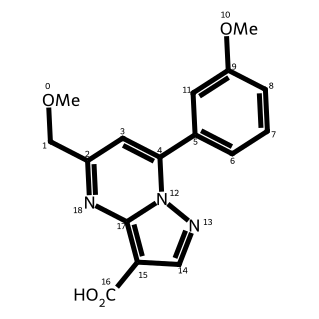 COCc1cc(-c2cccc(OC)c2)n2ncc(C(=O)O)c2n1